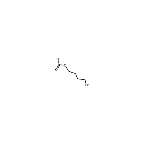 [O]C(=O)OCCCCBr